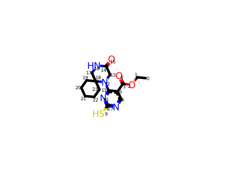 CCOC(=O)c1cnc(S)nc1N1CC(=O)NCC12CCCCC2